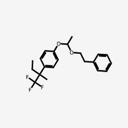 CCC(C)(c1ccc(OC(C)OCCc2ccccc2)cc1)C(F)(F)F